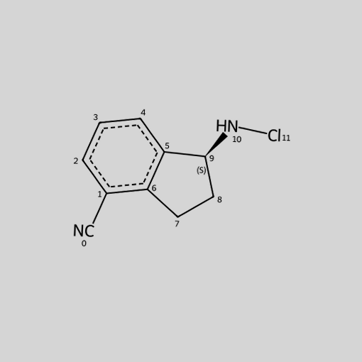 N#Cc1cccc2c1CC[C@@H]2NCl